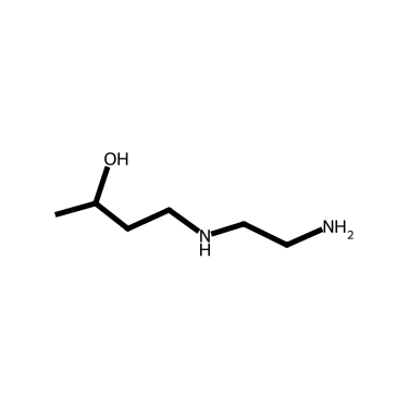 CC(O)CCNCCN